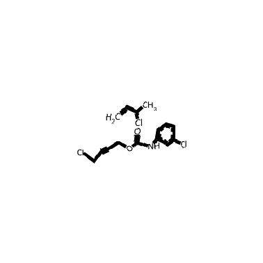 C=CC(C)Cl.O=C(Nc1cccc(Cl)c1)OCC#CCCl